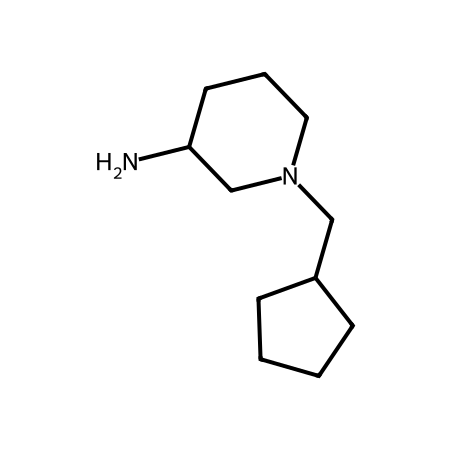 NC1CCCN(CC2CCCC2)C1